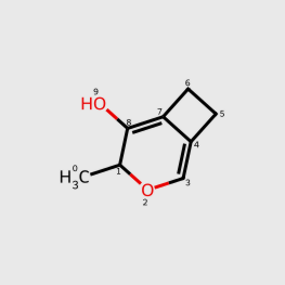 CC1OC=C2CCC2=C1O